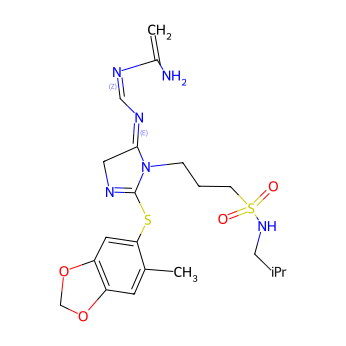 C=C(N)/N=C\N=C1/CN=C(Sc2cc3c(cc2C)OCO3)N1CCCS(=O)(=O)NCC(C)C